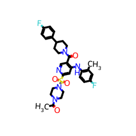 CC(=O)N1CCN(S(=O)(=O)c2cc(Nc3ccc(F)cc3C)c(C(=O)N3CCC(c4ccc(F)cc4)CC3)cn2)CC1